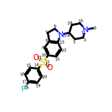 CN1CCC(N2CCc3cc(S(=O)(=O)c4ccc(F)cc4)ccc32)CC1